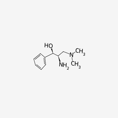 CN(C)C[C@@H](N)[C@H](O)c1ccccc1